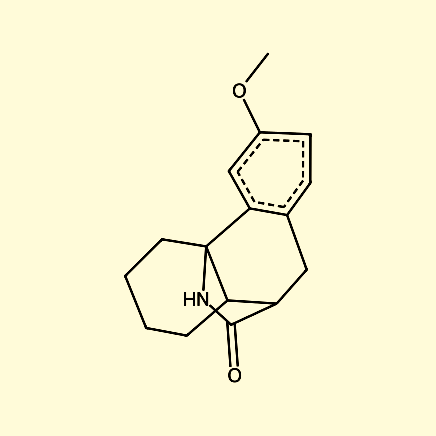 COc1ccc2c(c1)C13CCCCC1C(C2)C(=O)N3